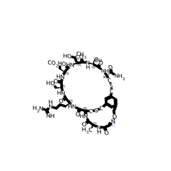 CC[C@H](C)[C@@H]1NC(=O)[C@H]([C@@H](C)O)NC(=O)[C@H](CC(=O)O)NC(=O)[C@H](CO)NC(=O)[C@H](CCCNC(=N)N)NC(=O)[C@@H]2CSCc3cc(cc(c3)CSC[C@@H](C(N)=O)NC1=O)CO/N=C\C(=O)N[C@@H](C)C(=O)N2